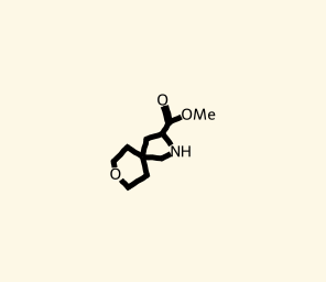 COC(=O)C1CC2(CCOCC2)CN1